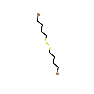 BrCCCCSSCCCCBr